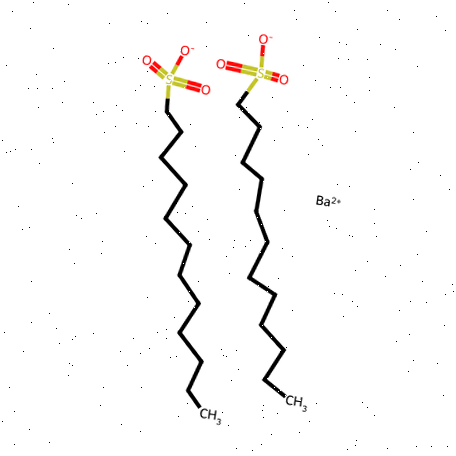 CCCCCCCCCCCCS(=O)(=O)[O-].CCCCCCCCCCCCS(=O)(=O)[O-].[Ba+2]